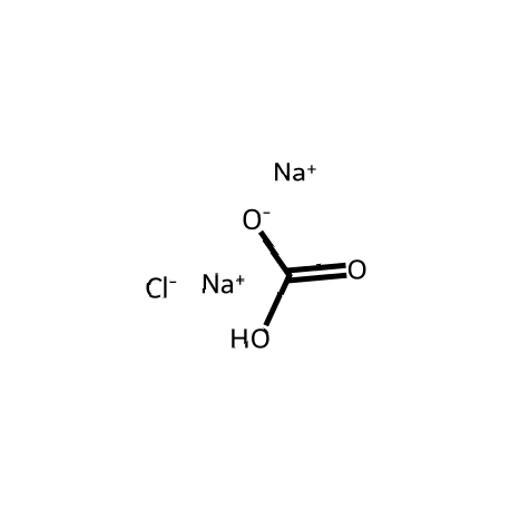 O=C([O-])O.[Cl-].[Na+].[Na+]